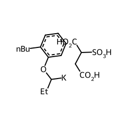 CCCCc1ccccc1O[CH]([K])CC.O=C(O)CC(C(=O)O)S(=O)(=O)O